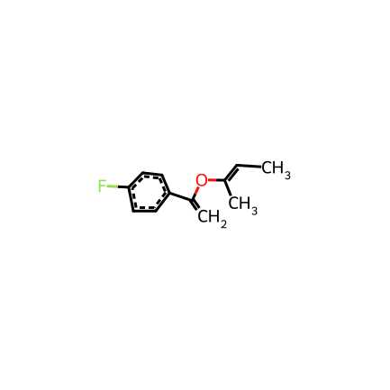 C=C(O/C(C)=C/C)c1ccc(F)cc1